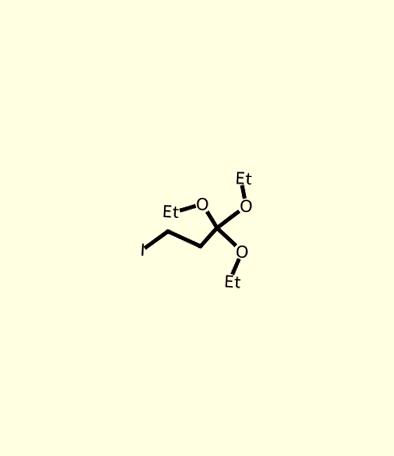 CCOC(CCI)(OCC)OCC